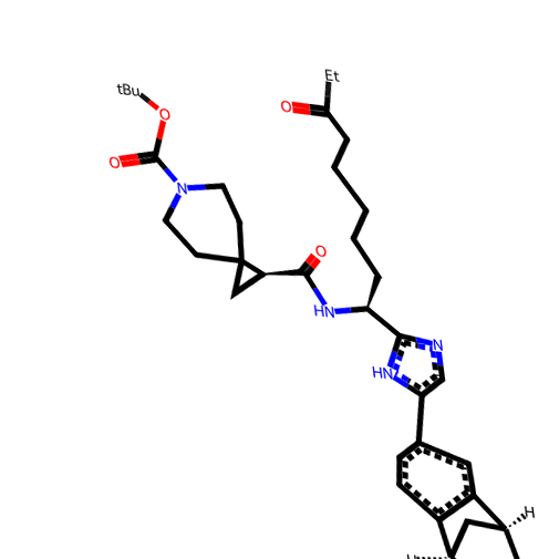 CCC(=O)CCCCC[C@H](NC(=O)[C@H]1CC12CCN(C(=O)OC(C)(C)C)CC2)c1ncc(-c2ccc3c(c2)[C@H]2CC[C@@H]3C2)[nH]1